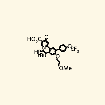 COCCCOc1cc2c(cc1-c1ccc(OC(F)(F)F)cc1)-c1cc(=O)c(C(=O)O)cn1C(PC(C)(C)C)C2